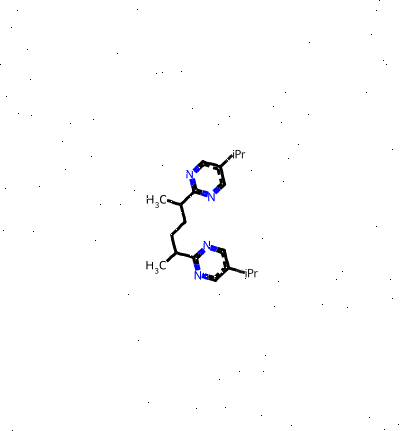 CC(C)c1cnc(C(C)CCC(C)c2ncc(C(C)C)cn2)nc1